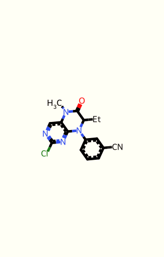 CCC1C(=O)N(C)c2cnc(Cl)nc2N1c1cccc(C#N)c1